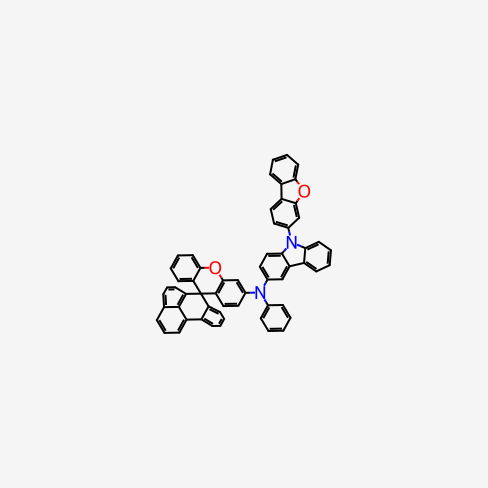 c1ccc(N(c2ccc3c(c2)Oc2ccccc2C32c3ccccc3-c3cccc4cccc2c34)c2ccc3c(c2)c2ccccc2n3-c2ccc3c(c2)oc2ccccc23)cc1